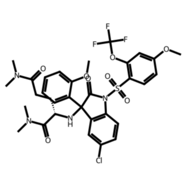 COc1ccc(S(=O)(=O)N2C(=O)C(N[C@@H](CCC(=O)N(C)C)C(=O)N(C)C)(c3ccccc3OC)c3cc(Cl)ccc32)c(OC(F)(F)F)c1